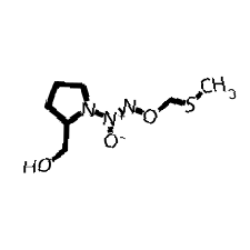 CSCO/N=[N+](\[O-])N1CCCC1CO